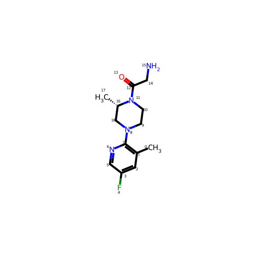 Cc1cc(F)cnc1N1CCN(C(=O)CN)[C@@H](C)C1